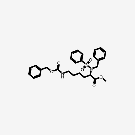 COC(=O)C(CCCCNC(=O)OCc1ccccc1)N(Cc1ccccc1)S(=O)(=O)c1ccccc1